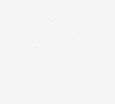 C=C(C)c1c([N+](=O)[O-])cc(C(=O)OCC2=CCCCC2)cc1[N+](=O)[O-]